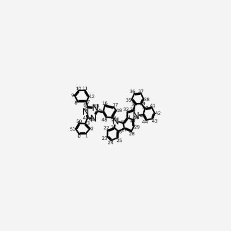 c1ccc(-c2nc(-c3ccccc3)nc(-c3cccc(-n4c5ccccc5c5ccc6c(cc7c8ccccc8c8ccccc8n76)c54)c3)n2)cc1